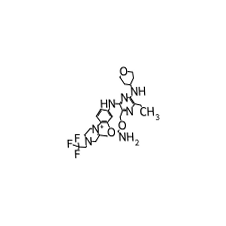 CCc1nc(COCN)c(Nc2ccc3c(c2)OCC2=[N+]3CCN(CC(F)(F)F)C2)nc1NC1CCOCC1